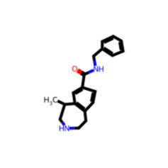 CC1CNCCc2ccc(C(=O)NCc3ccccc3)cc21